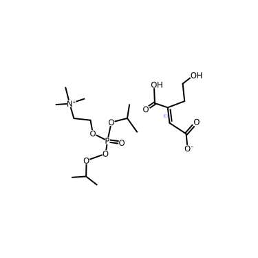 CC(C)OOP(=O)(OCC[N+](C)(C)C)OC(C)C.O=C([O-])/C=C(\CCO)C(=O)O